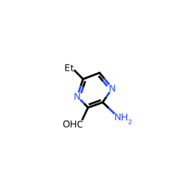 CCc1cnc(N)c(C=O)n1